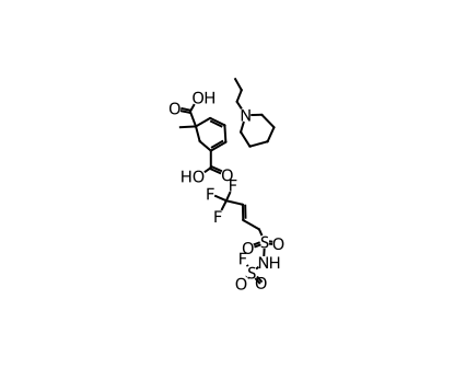 CC1(C(=O)O)C=CC=C(C(=O)O)C1.CCCN1CCCCC1.O=S(=O)(F)NS(=O)(=O)CC=CC(F)(F)F